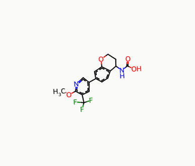 COc1ncc(-c2ccc3c(c2)OCCC3NC(=O)O)cc1C(F)(F)F